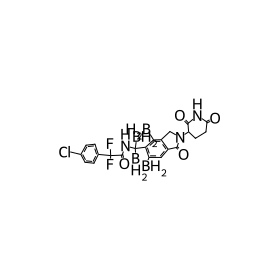 Bc1cc2c(c(B)c1C(B)(B)NC(=O)C(F)(F)c1ccc(Cl)cc1)CN(C1CCC(=O)NC1=O)C2=O